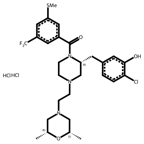 CSc1cc(C(=O)N2CCN(CCN3C[C@@H](C)O[C@@H](C)C3)C[C@H]2Cc2ccc(Cl)c(O)c2)cc(C(F)(F)F)c1.Cl.Cl